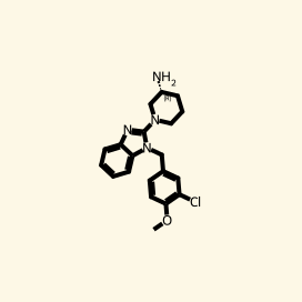 COc1ccc(Cn2c(N3CCC[C@@H](N)C3)nc3ccccc32)cc1Cl